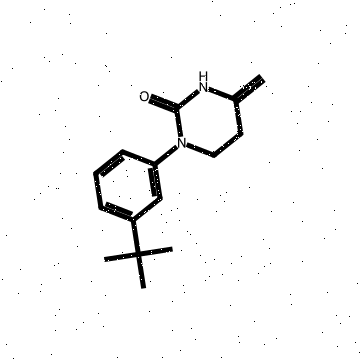 C=C1CCN(c2cccc(C(C)(C)C)c2)C(=O)N1